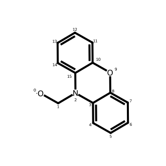 [O]CN1c2ccccc2Oc2ccccc21